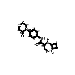 NC[C@H](NC1CCC1)C(=O)Nc1ccc(N2CCOCC2=O)cc1